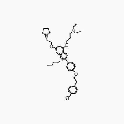 CCCCn1c(-c2ccc(OCCc3ccc(Cl)cc3)cc2)nc2c(OCCCN(CC)CC)cc(OCCN3CCCC3)cc21